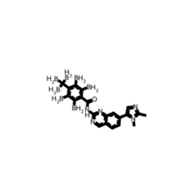 Bc1c(B)c(C(B)(B)B)c(B)c(B)c1C(=O)Nc1ncc2ccc(-c3cnc(C)n3C)cc2n1